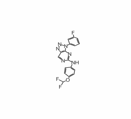 Fc1cccc(-n2nnc3cnc(Nc4ccc(OC(F)F)cc4)nc32)c1